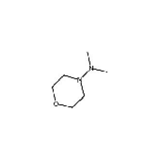 CN(C)N1CCOCC1